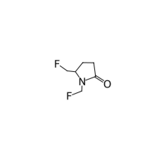 O=C1CCC(CF)N1CF